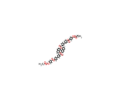 C=CC(=O)OCOc1ccc(C(=O)Oc2ccc(-c3ccc(C(=O)Oc4ccc5ccccc5c4-c4c(OC(=O)c5ccc(-c6ccc(OC(=O)c7ccc(OCOC(=O)C=C)cc7)cc6)cc5)ccc5ccccc45)cc3)cc2)cc1